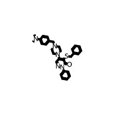 CN(C)c1ccc(CN2CCN(c3cnn(-c4ccccc4)c(=O)c3SCc3ccccc3)CC2)cc1